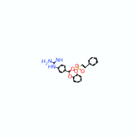 N=C(N)Nc1ccc(C(=O)Oc2ccccc2OS(=O)(=O)C=Cc2ccccc2)cc1